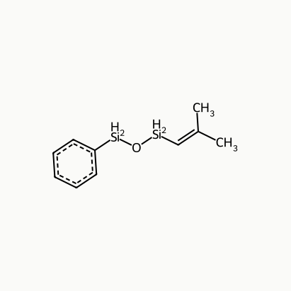 CC(C)=C[SiH2]O[SiH2]c1ccccc1